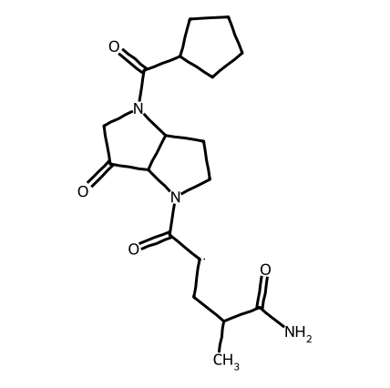 CC(C[CH]C(=O)N1CCC2C1C(=O)CN2C(=O)C1CCCC1)C(N)=O